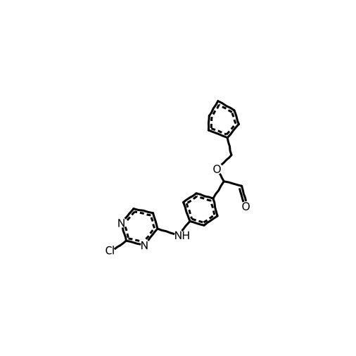 O=CC(OCc1ccccc1)c1ccc(Nc2ccnc(Cl)n2)cc1